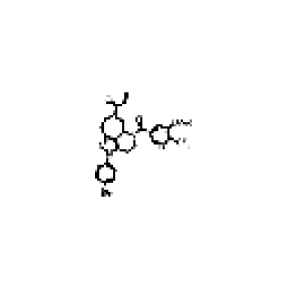 C=CC(=O)N1CCc2nn(-c3ccc(C(C)C)cc3)c3c2C(C1)N(C(=O)c1cnc(C(F)(F)F)c(OC)c1)CC3